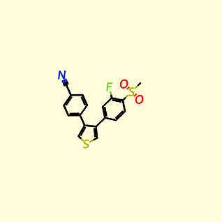 CS(=O)(=O)c1ccc(-c2cscc2-c2ccc(C#N)cc2)cc1F